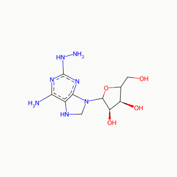 NNc1nc(N)c2c(n1)N(C1OC(CO)[C@@H](O)[C@H]1O)CN2